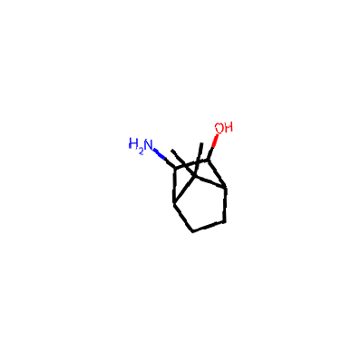 CC1(C)C2CCC1C(O)C2N